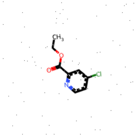 CCOC(=O)c1cc(Cl)[c]cn1